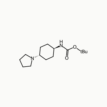 CC(C)(C)OC(=O)N[C@H]1CC[C@H](N2CCCC2)CC1